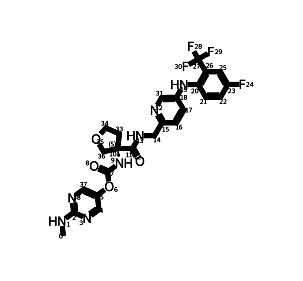 CNc1ncc(OC(=O)N[C@@]2(C(=O)NCc3ccc(Nc4ccc(F)cc4C(F)(F)F)cn3)CCOC2)cn1